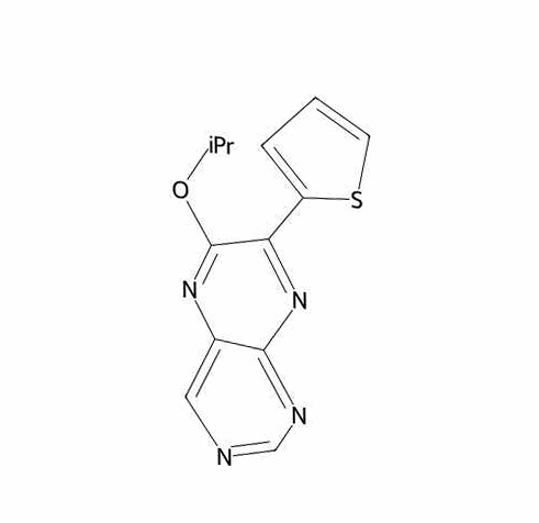 CC(C)Oc1nc2cncnc2nc1-c1cccs1